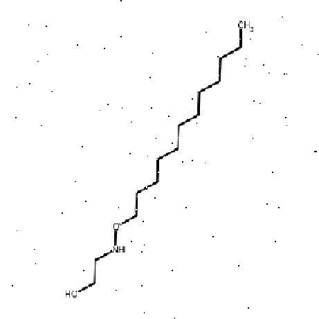 CCCCCCCCCCCCONCCO